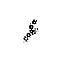 Cc1ccc(Oc2ccc(-c3cn([C@H]4CC[C@H](N5CCN(C)CC5)CC4)c4ncnc(N)c34)cc2)cc1